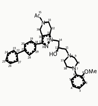 COc1ccccc1N1CCN(CC(O)Cn2nc(-c3ccc(-c4ccccc4)cc3)c3c2CCN(C(C)=O)C3)CC1